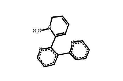 NN1CC=CC=C1c1ncccc1-c1ccccn1